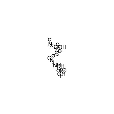 O=C(c1ccc(COc2cccc([C@](O)(C(=O)OCC3CCN(Cc4ccccc4)CC3)c3ccccc3)c2)cc1)N1CCC(CNC[C@H](O)c2ccc(O)c3[nH]c(=O)ccc23)CC1